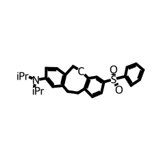 CC(C)N(c1ccc2c(c1)CCc1ccc(S(=O)(=O)c3ccccc3)cc1CC2)C(C)C